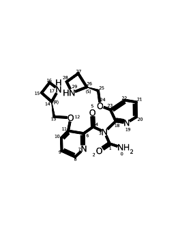 NC(=O)N(C(=O)c1ncccc1OC[C@H]1CCN1)c1ncccc1OC[C@@H]1CCN1